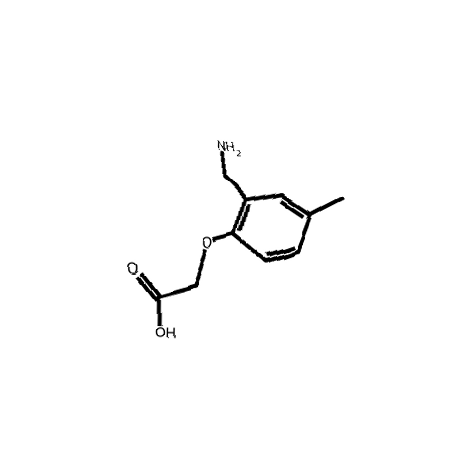 Cc1ccc(OCC(=O)O)c(CN)c1